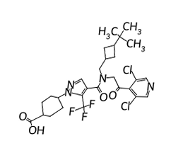 CC(C)(C)C1CC(CN(CC(=O)c2c(Cl)cncc2Cl)C(=O)c2cnn(C3CCC(C(=O)O)CC3)c2C(F)(F)F)C1